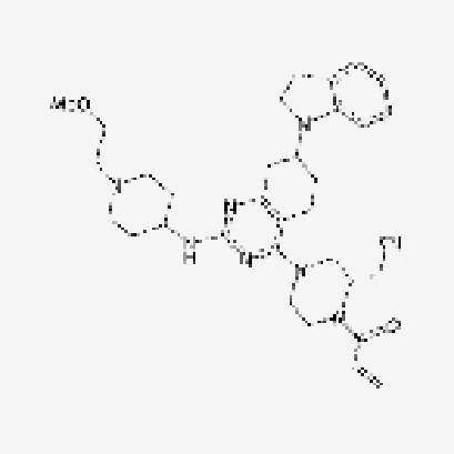 C=CC(=O)N1CCN(c2nc(NC3CCN(CCOC)CC3)nc3c2CCC(N2CCc4ccccc42)C3)C[C@@H]1CC#N